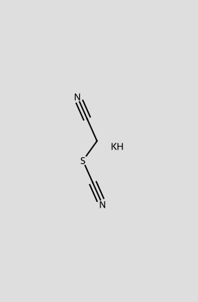 N#CCSC#N.[KH]